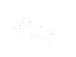 C=C1CC2c3ccccc3-c3ccc(C)c[n+]3C2CCc2ccc3c(oc4nc(-c5c(C(C)C)ccc(-c6ccccc6)c5C(C)C)ccc43)c2-c2cc(C)c(CC(C)(C)C)c[n+]21